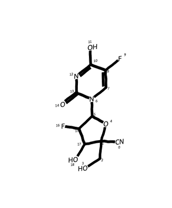 N#CC1(CO)OC(n2cc(F)c(O)nc2=O)C(F)C1O